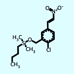 CCCC[Si](C)(C)OCc1cc(C=C[N+](=O)[O-])ccc1Cl